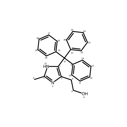 Cc1nc(CCO)c(C(c2ccccc2)(c2ccccc2)c2ccccc2)[nH]1